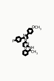 COc1ccc(-c2cn(-c3ccnc(N[C@@H](C)c4ccccc4)n3)c(-c3ccc(F)cc3)n2)cc1